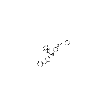 CC(C)(CN)CN/C(=N\c1ccc(OCCC2CCCCC2)cc1)N1CCC(Cc2ccccc2)CC1